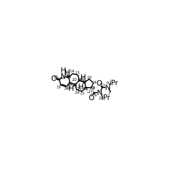 CC(C)N(C)C(=O)N(C(=O)[C@H]1CC[C@H]2[C@@H]3CC[C@H]4NC(=O)C=C[C@]4(C)[C@H]3CC[C@]12C)C(C)C